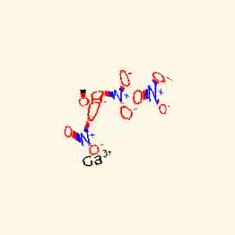 CO.O=[N+]([O-])[O-].O=[N+]([O-])[O-].O=[N+]([O-])[O-].[Ga+3]